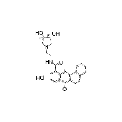 Cl.O=C(NCCN1C[C@@H](O)[C@H](O)C1)c1cccn2c(=O)c3ccc4ccccc4c3nc12